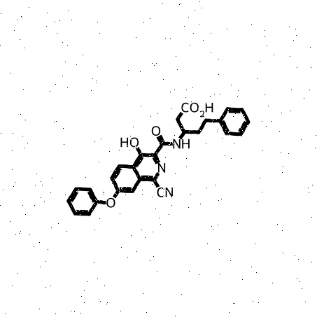 N#Cc1nc(C(=O)NC(CCc2ccccc2)CC(=O)O)c(O)c2ccc(Oc3ccccc3)cc12